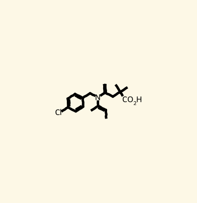 C=C(CC(C)(C)C(=O)O)N(Cc1ccc(Cl)cc1)/C(C)=C/C